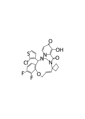 O=C1c2c(O)c(=O)ccn2N2CN1C1(/C=C/COc3c(ccc(F)c3F)C2c2ccsc2Cl)CCC1